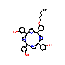 O=CCCCCOc1cccc(-c2c3nc(c(-c4cccc(O)c4)c4ccc([nH]4)c(-c4cccc(O)c4)c4nc(c(-c5cccc(O)c5)c5ccc2[nH]5)C=C4)C=C3)c1